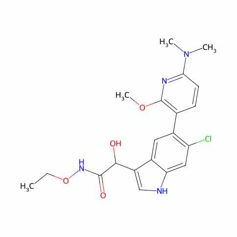 CCONC(=O)C(O)c1c[nH]c2cc(Cl)c(-c3ccc(N(C)C)nc3OC)cc12